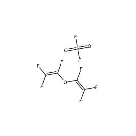 FC(F)=C(F)OC(F)=C(F)F.O=S(=O)(F)F